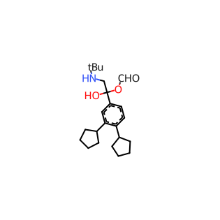 CC(C)(C)NCC(O)(OC=O)c1ccc(C2CCCC2)c(C2CCCC2)c1